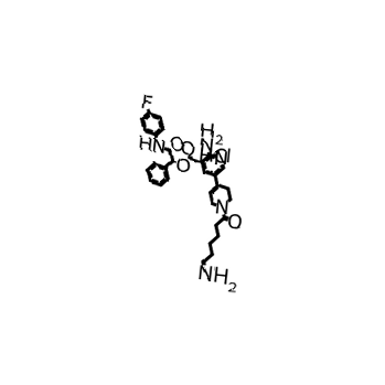 Cl.NCCCCCC(=O)N1CC=C(c2cnc(N)c(C(=O)O[C@@H](C(=O)Nc3ccc(F)cc3)c3ccccc3)c2)CC1